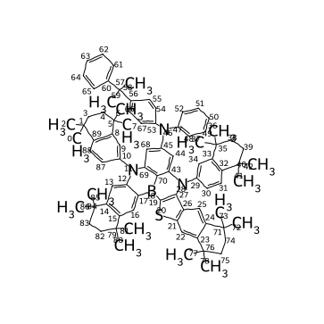 CC1(C)CCC(C)(C)c2cc(N3c4cc5c(cc4B4c6sc7cc8c(cc7c6N(c6ccc7c(c6)C(C)(C)CCC7(C)C)c6cc(N(c7ccccc7)c7ccc(C(C)(C)c9ccccc9)cc7)cc3c64)C(C)(C)CCC8(C)C)C(C)(C)CCC5(C)C)ccc21